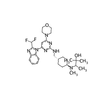 CC(N(C)[C@H]1CC[C@H](CNc2nc(N3CCOCC3)cc(-n3c(C(F)F)nc4ccccc43)n2)CC1)C(C)(C)O